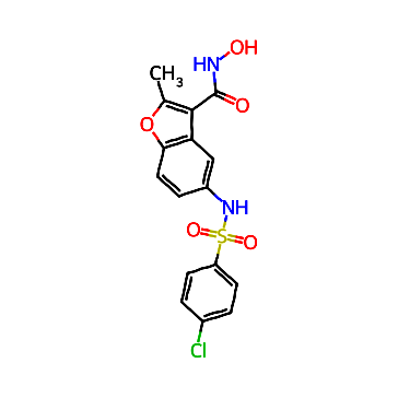 Cc1oc2ccc(NS(=O)(=O)c3ccc(Cl)cc3)cc2c1C(=O)NO